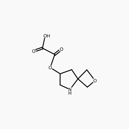 O=C(O)C(=O)OC1CNC2(COC2)C1